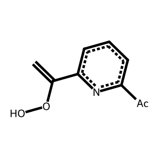 C=C(OO)c1cccc(C(C)=O)n1